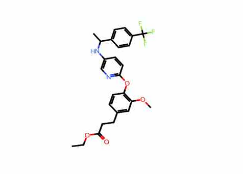 CCOC(=O)CCc1ccc(Oc2ccc(NC(C)c3ccc(C(F)(F)F)cc3)cn2)c(OC)c1